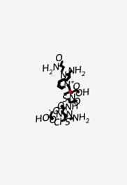 COC[C@@H](N)CCn1c(N)cc2c1ccc[n+]2CC1=C(C(=O)O)N2C(=O)C(NC(=O)/C(=N\O[C@@H](C)C(=O)O)c3nc(N)sc3Cl)C2SC1